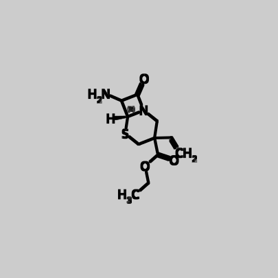 C=CC1(C(=O)OCC)CS[C@@H]2C(N)C(=O)N2C1